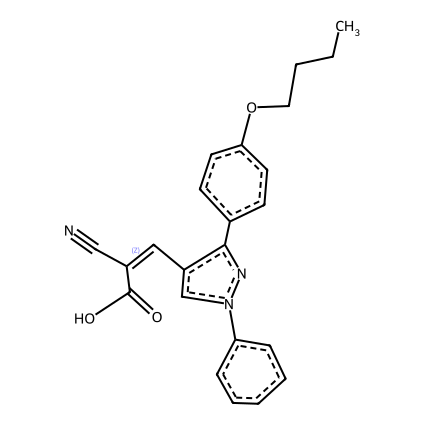 CCCCOc1ccc(-c2nn(-c3ccccc3)cc2/C=C(/C#N)C(=O)O)cc1